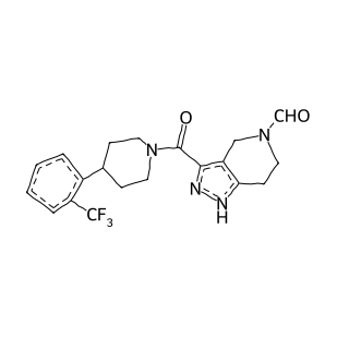 O=CN1CCc2[nH]nc(C(=O)N3CCC(c4ccccc4C(F)(F)F)CC3)c2C1